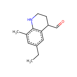 CCc1cc(C)c2c(c1)C(C=O)CCN2